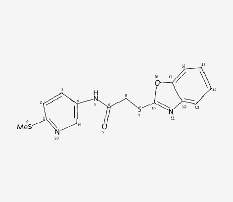 CSc1ccc(NC(=O)CSc2nc3ccccc3o2)cn1